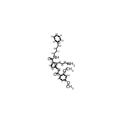 COc1ccc(C(=O)/N=c2\scc(C(=O)NCCCCc3ccccc3)n2CCCN)c(OC)c1